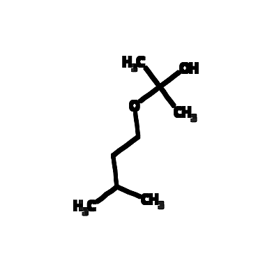 CC(C)CCOC(C)(C)O